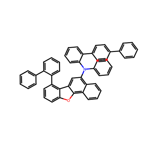 c1ccc(-c2ccc(-c3ccccc3N(c3ccccc3)c3cc4c(oc5cccc(-c6ccccc6-c6ccccc6)c54)c4ccccc34)cc2)cc1